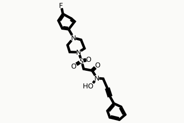 O=C(CS(=O)(=O)N1CCN(c2ccc(F)cc2)CC1)N(O)CC#Cc1ccccc1